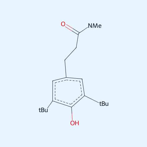 CNC(=O)CCc1cc(C(C)(C)C)c(O)c(C(C)(C)C)c1